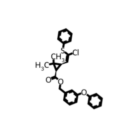 CC1(C)[C@H](C(=O)OCc2cccc(Oc3ccccc3)c2)[C@@H]1/C=C(/Cl)Sc1ccccc1